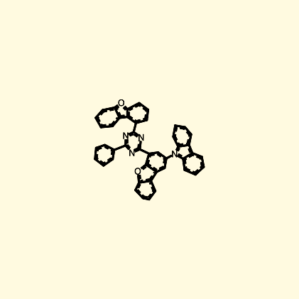 c1ccc(-c2nc(-c3cc(-n4c5ccccc5c5ccccc54)cc4c3oc3ccccc34)nc(-c3cccc4oc5ccccc5c34)n2)cc1